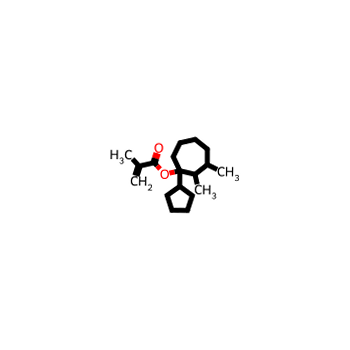 C=C(C)C(=O)OC1(C2CCCC2)CCCCC(C)C1C